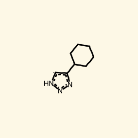 [c]1[nH]nnc1C1CCCCC1